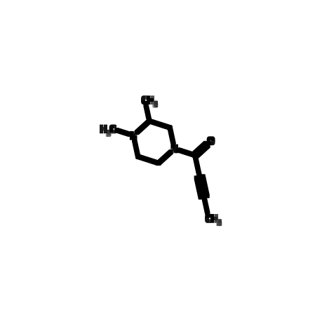 CC#CC(=O)N1CCN(C)C(C)C1